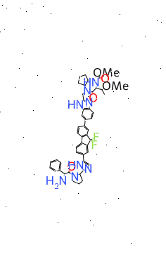 COC(=O)N[C@H](C(=O)N(Cc1nc2ccc(-c3ccc4c(c3)C(F)(F)c3cc(-c5cnc(C6CCCN6C(=O)[C@H](N)c6ccccc6)[nH]5)ccc3-4)cc2[nH]1)C1CCCC1)[C@@H](C)OC